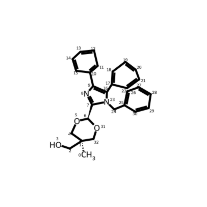 C[C@]1(CO)CO[C@@H](c2nc(-c3ccccc3)c(-c3ccccc3)n2Cc2ccccc2)OC1